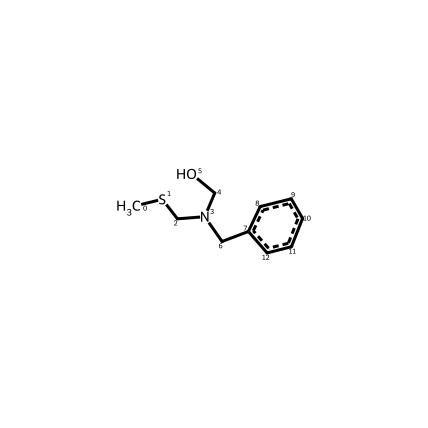 CSCN(CO)Cc1ccccc1